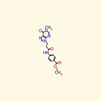 CCOC(=O)c1ccc(NC(=O)CCn2cnc3c(=O)n(C)cnc32)cc1